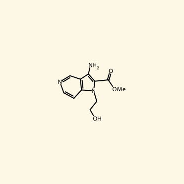 COC(=O)c1c(N)c2cnccc2n1CCO